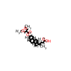 COCC(COC)C(=O)O[C@H]1CC[C@@]2(C)[C@H](CC[C@@H]3[C@@H]2CC[C@]2(C)[C@@H]([C@H](C)CCC(=O)O)CC[C@@H]32)C1